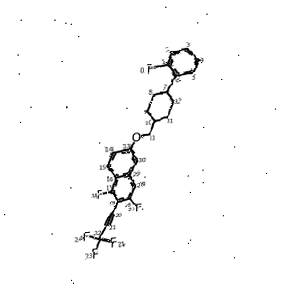 Fc1ccccc1C1CCC(COc2ccc3c(F)c(C#CC(F)(F)F)c(F)cc3c2)CC1